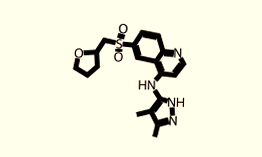 Cc1n[nH]c(Nc2ccnc3ccc(S(=O)(=O)CC4CCCO4)cc23)c1C